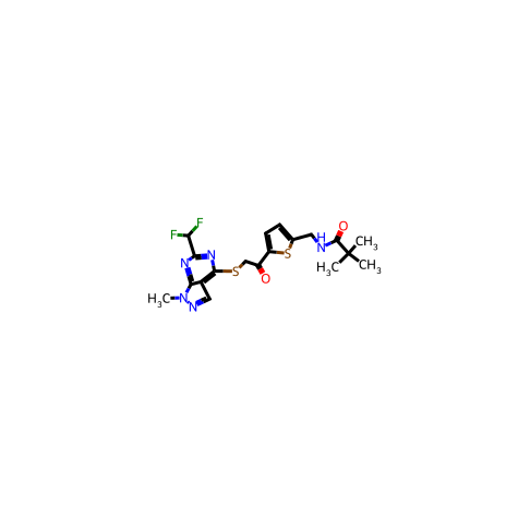 Cn1ncc2c(SCC(=O)c3ccc(CNC(=O)C(C)(C)C)s3)nc(C(F)F)nc21